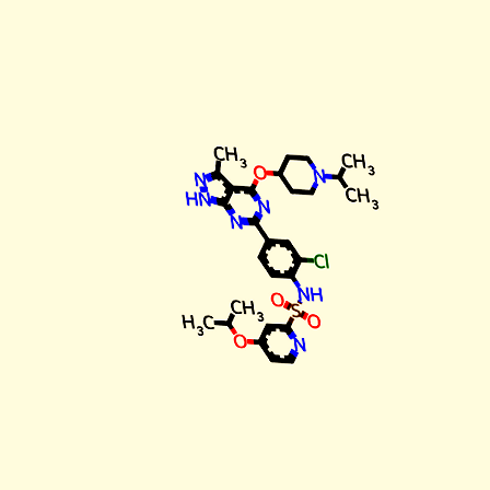 Cc1n[nH]c2nc(-c3ccc(NS(=O)(=O)c4cc(OC(C)C)ccn4)c(Cl)c3)nc(OC3CCN(C(C)C)CC3)c12